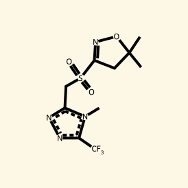 Cn1c(CS(=O)(=O)C2=NOC(C)(C)C2)nnc1C(F)(F)F